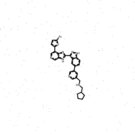 CC(=O)c1ccc(-c2cncc3[nH]c(-c4n[nH]c5ccc(-c6cncc(CNCC7CCCC7)c6)cc45)nc23)s1